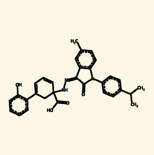 Cc1ccc2c(c1)C(=NNC1(C(=O)O)C=CC=C(c3ccccc3O)C1)C(=O)N2c1ccc(C(C)C)cc1